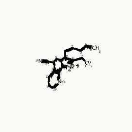 C=CC/C=C\c1c(CC)[nH]c2c1cc(C#N)c1cccnc12